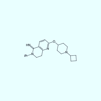 CC(C)N1CCc2nc(OC3CCN(C4CCC4)CC3)ccc2C1=N